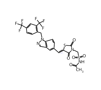 CC(=O)NS(=O)(=O)CN1C(=O)S/C(=C\c2ccc3c(cnn3Cc3ccc(C(F)(F)F)cc3C(F)(F)F)c2)C1=O